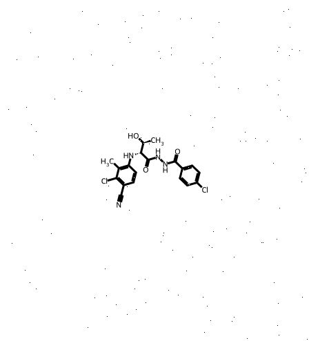 Cc1c(N[C@@H](C(=O)NNC(=O)c2ccc(Cl)cc2)[C@H](C)O)ccc(C#N)c1Cl